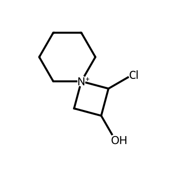 OC1C[N+]2(CCCCC2)C1Cl